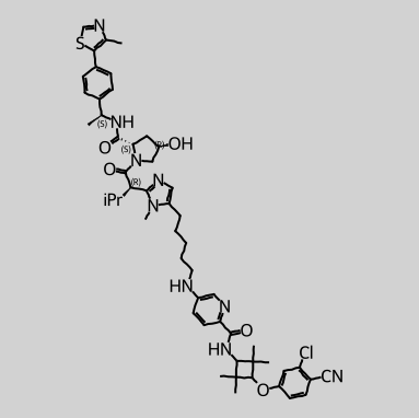 Cc1ncsc1-c1ccc([C@H](C)NC(=O)[C@@H]2C[C@@H](O)CN2C(=O)[C@@H](c2ncc(CCCCCNc3ccc(C(=O)NC4C(C)(C)C(Oc5ccc(C#N)c(Cl)c5)C4(C)C)nc3)n2C)C(C)C)cc1